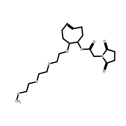 COCCOCCOCCOC1CC/C=C/CCC1OC(=O)CN1C(=O)CCC1=O